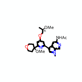 CO[C@H](C)COc1cc(-c2cn(C)c3cnc(NC(C)=O)cc23)nc(C2(OC)CCOCC2)c1